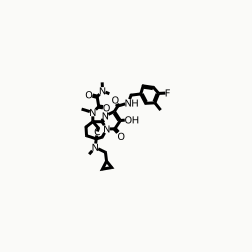 Cc1cc(CNC(=O)c2nc3n(c(=O)c2O)CC2(N(C)CC4CC4)CCC3(N(C)C(=O)C(=O)N(C)C)CC2)ccc1F